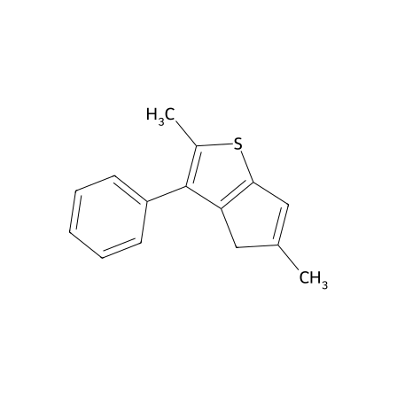 CC1=Cc2sc(C)c(-c3ccccc3)c2C1